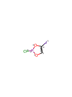 ClP1OC=C(I)O1